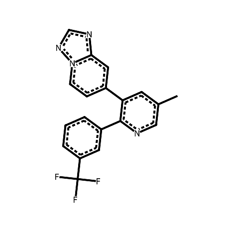 Cc1cnc(-c2cccc(C(F)(F)F)c2)c(-c2ccn3ncnc3c2)c1